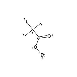 CCOC(=O)C(C)(C)I